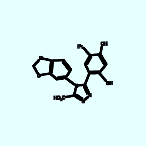 CC(C)c1cc(-c2nnc(C(=O)O)n2-c2ccc3c(c2)OCO3)c(O)cc1O